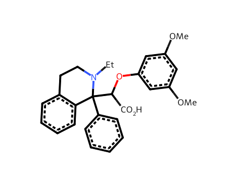 CCN1CCc2ccccc2C1(c1ccccc1)C(Oc1cc(OC)cc(OC)c1)C(=O)O